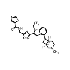 CN1CC[C@H]2N(c3cccc4c3cc(-c3noc(CNC(=O)c5cncs5)n3)n4CC(F)(F)F)C[C@]2(F)C1